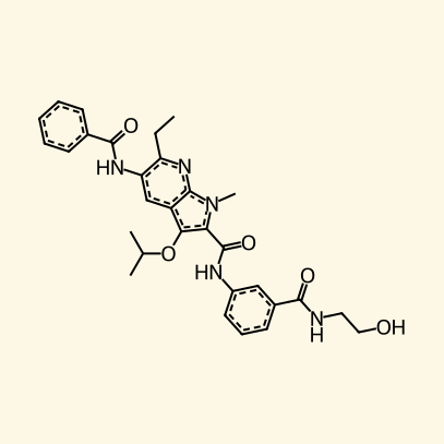 CCc1nc2c(cc1NC(=O)c1ccccc1)c(OC(C)C)c(C(=O)Nc1cccc(C(=O)NCCO)c1)n2C